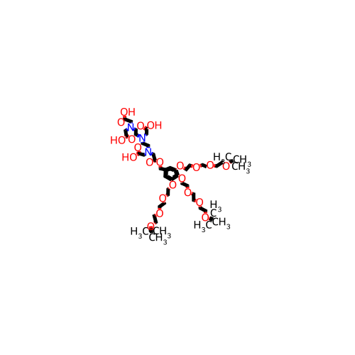 CC(C)(C)OCCOCCOCCOc1cc(COC(=O)CN(CCN(CCN(CC(=O)O)CC(=O)O)CC(=O)O)CC(=O)O)cc(OCCOCCOCCOC(C)(C)C)c1OCCOCCOCCOC(C)(C)C